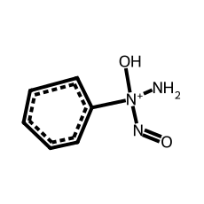 N[N+](O)(N=O)c1ccccc1